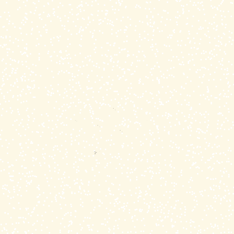 c1ccc(C2=NC(c3ccc4cc(-c5ccccc5)ccc4c3)=NC(c3cc4ccccc4cc3-n3c4ccccc4c4cc5ccccc5cc43)N2)cc1